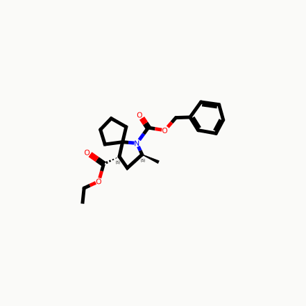 CCOC(=O)[C@H]1C[C@H](C)N(C(=O)OCc2ccccc2)C12CCCC2